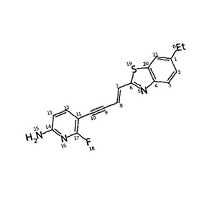 CCc1ccc2nc(/C=C/C#Cc3ccc(N)nc3F)sc2c1